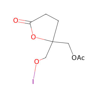 CC(=O)OCC1(COI)CCC(=O)O1